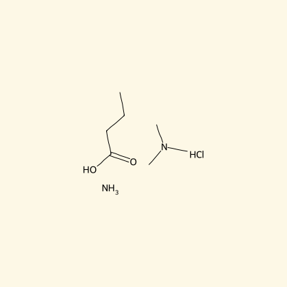 CCCC(=O)O.CN(C)C.Cl.N